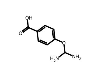 NC(N)Oc1ccc(C(=O)O)cc1